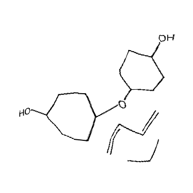 C=CC=C.CCC.OC1CCC(OC2CCC(O)CC2)CC1